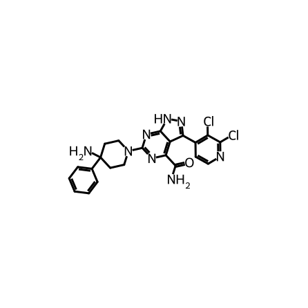 NC(=O)c1nc(N2CCC(N)(c3ccccc3)CC2)nc2[nH]nc(-c3ccnc(Cl)c3Cl)c12